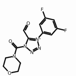 O=Cc1n(C(=O)N2CCOCC2)nn[n+]1-c1cc(F)cc(F)c1